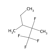 CCC(C)C(C)(F)C(F)(F)F